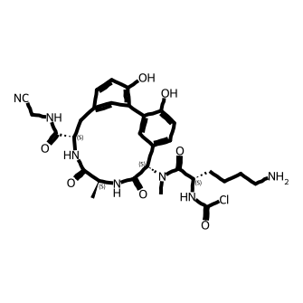 C[C@@H]1NC(=O)[C@@H](N(C)C(=O)[C@H](CCCCN)NC(=O)Cl)c2ccc(O)c(c2)-c2cc(ccc2O)C[C@@H](C(=O)NCC#N)NC1=O